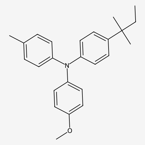 CCC(C)(C)c1ccc(N(c2ccc(C)cc2)c2ccc(OC)cc2)cc1